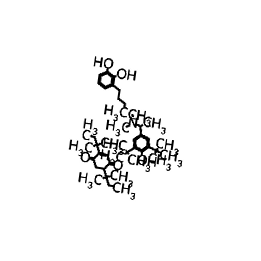 CC(c1cc(C(C)(C)C)c(O)c(C(C)(C)C)c1)N(C)C.CCC(C)(C)C1=CC(=O)C(C(C)(C)CC)CC1=O.CCCCc1cccc(O)c1O